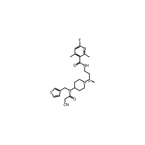 Cc1cc(F)nc(C)c1C(=O)NCC[C@@H](C)N1CCC(N(Cc2ccsc2)C(=O)CC#N)CC1